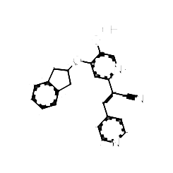 COc1cnc(C(C#N)=Cc2ccncc2)cc1OC1Cc2ccccc2C1